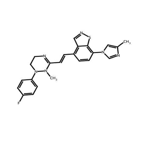 Cc1cn(-c2ccc(/C=C/C3=NCCN(c4ccc(F)cc4)N3C)c3cnsc23)cn1